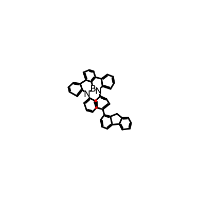 c1ccc(N2B3c4c(cccc4-c4ccccc4N3c3ccc(-c4cccc5c4Cc4ccccc4-5)cc3)-c3ccccc32)cc1